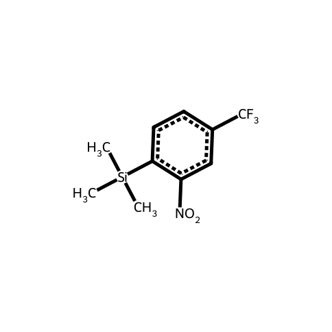 C[Si](C)(C)c1ccc(C(F)(F)F)cc1[N+](=O)[O-]